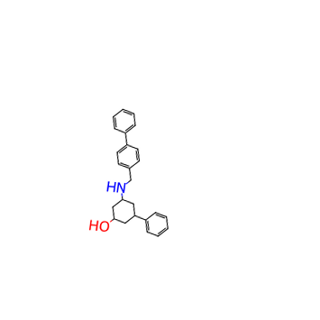 OC1CC(NCc2ccc(-c3ccccc3)cc2)CC(c2ccccc2)C1